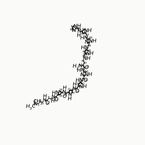 CN(C)CCCNC(=O)CCNC(=O)c1cc(NC(=O)c2cc(NC(=O)c3cc(NC(=O)c4nc(NC(=O)C(N)CCNCc5cc(NCc6nc(NCc7cc(NCc8ncc[nH]8)c[nH]7)c[nH]6)c[nH]5)c[nH]4)c[nH]3)c[nH]2)c[nH]1